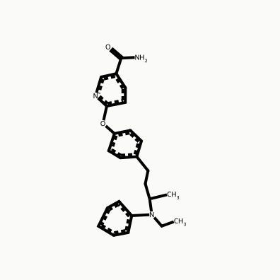 CCN(c1ccccc1)C(C)CCc1ccc(Oc2ccc(C(N)=O)cn2)cc1